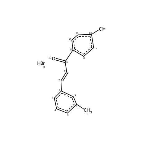 Br.Cc1cccc(C=CC(=O)c2ccc(Cl)cc2)c1